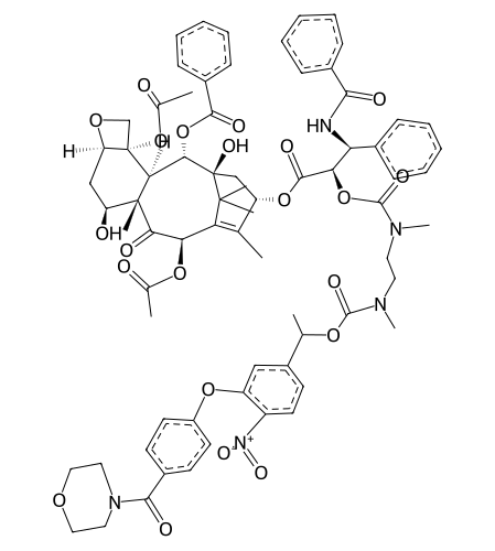 CC(=O)O[C@H]1C(=O)[C@@]2(C)[C@H]([C@H](OC(=O)c3ccccc3)[C@]3(O)C[C@H](OC(=O)[C@H](OC(=O)N(C)CCN(C)C(=O)OC(C)c4ccc([N+](=O)[O-])c(Oc5ccc(C(=O)N6CCOCC6)cc5)c4)[C@@H](NC(=O)c4ccccc4)c4ccccc4)C(C)=C1C3(C)C)[C@]1(OC(C)=O)CO[C@@H]1C[C@@H]2O